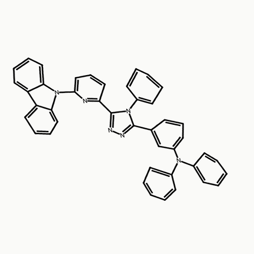 c1ccc(N(c2ccccc2)c2cccc(-c3nnc(-c4cccc(-n5c6ccccc6c6ccccc65)n4)n3-c3ccccc3)c2)cc1